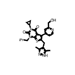 Cc1n[nH]c(C)c1Cc1sc2c(c1-c1ccnc(CO)c1)c(=O)n(C1CC1)c(=O)n2CC(C)C